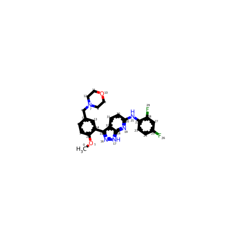 COc1ccc(CN2CCOCC2)cc1-c1n[nH]c2nc(Nc3ccc(F)cc3F)ccc12